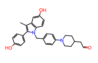 Cc1c(-c2ccc(O)cc2)n(Cc2ccc(N3CCC(CC=O)CC3)cc2)c2ccc(O)cc12